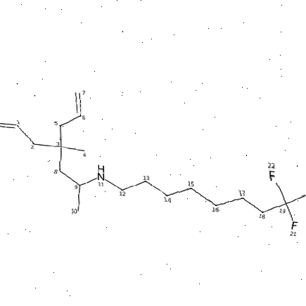 C=CCC(C)(CC=C)CC(C)NCCCCCCCC(F)(F)F